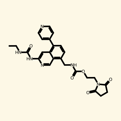 CCNC(=O)Nc1cc2c(-c3ccncc3)ccc(CNC(=O)OCCN3C(=O)CCC3=O)c2cn1